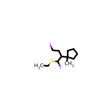 CCSC(I)C(CCI)C1(C)CCCC1